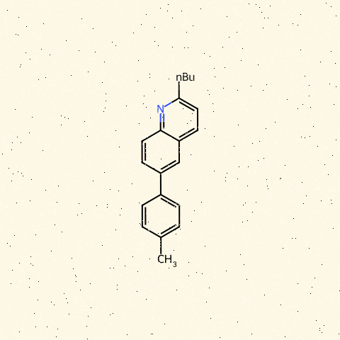 CCCCc1ccc2cc(-c3ccc(C)cc3)ccc2n1